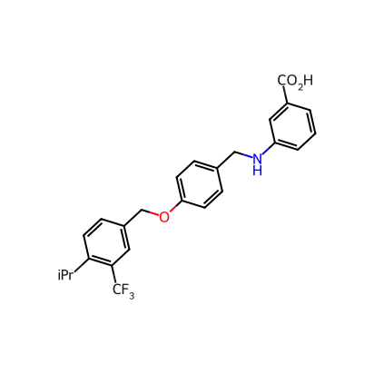 CC(C)c1ccc(COc2ccc(CNc3cccc(C(=O)O)c3)cc2)cc1C(F)(F)F